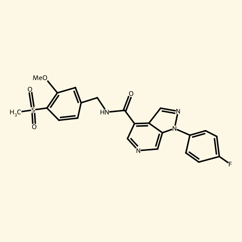 COc1cc(CNC(=O)c2cncc3c2cnn3-c2ccc(F)cc2)ccc1S(C)(=O)=O